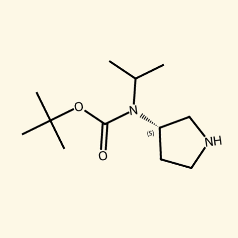 CC(C)N(C(=O)OC(C)(C)C)[C@H]1CCNC1